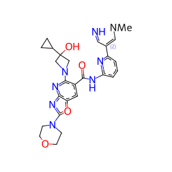 CN/C=C(\C=N)c1cccc(NC(=O)c2cc3oc(N4CCOCC4)nc3nc2N2CC(O)(C3CC3)C2)n1